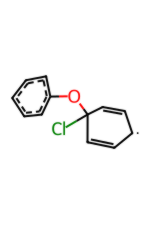 ClC1(Oc2ccccc2)C=C[CH]C=C1